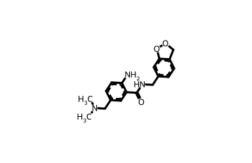 CN(C)Cc1ccc(N)c(C(=O)NCc2ccc3c(c2)OOC3)c1